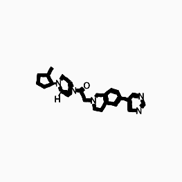 CC1CCC[C@@H]1N1CC2C[C@H]1CN2C(=O)CN1CCc2cc(-c3cncnc3)ccc2C1